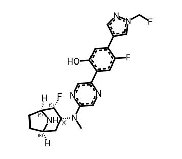 CN(c1cnc(-c2cc(F)c(-c3cnn(CF)c3)cc2O)cn1)[C@@H]1C[C@H]2CC[C@H](N2)[C@@H]1F